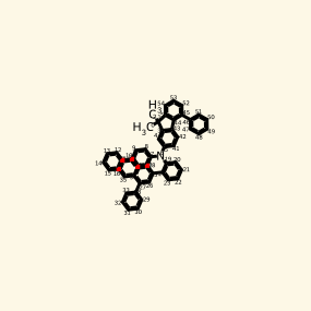 CC1(C)c2cc(N(c3ccc(-c4ccccc4)cc3)c3ccccc3-c3cc(-c4ccccc4)c4ccccc4c3)ccc2-c2c(-c3ccccc3)cccc21